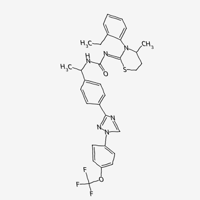 CCc1ccccc1N1/C(=N/C(=O)NC(C)c2ccc(-c3ncn(-c4ccc(OC(F)(F)F)cc4)n3)cc2)SCCC1C